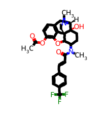 CC(=O)Oc1ccc2c3c1OC1C(N(C)C(=O)/C=C/c4ccc(C(F)(F)F)cc4)CC[C@@]4(O)[C@@H](C2)N(C)CC[C@]314